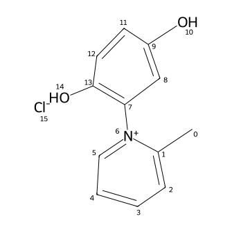 Cc1cccc[n+]1-c1cc(O)ccc1O.[Cl-]